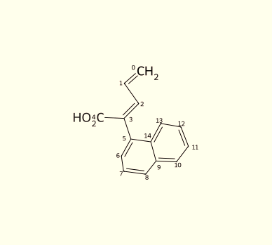 C=CC=C(C(=O)O)c1cccc2ccccc12